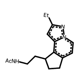 CCc1cc2c3c(ccn2n1)CCC3CCNC(C)=O